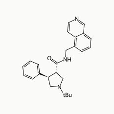 CC(C)(C)N1C[C@@H](C(=O)NCc2cccc3cnccc23)[C@H](c2ccccc2)C1